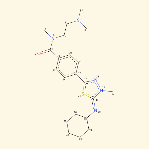 CN(C)CCN(C)C(=O)c1ccc(-c2nn(C)c(=NC3CCCCC3)s2)cc1